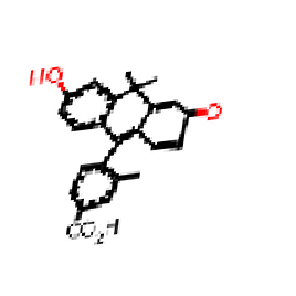 Cc1cc(C(=O)O)ccc1C1=C2C=CC(=O)C=C2C(C)(C)c2cc(O)ccc21